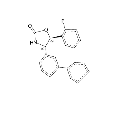 O=C1N[C@@H](c2cccc(-c3ccccc3)c2)[C@H](c2ccccc2F)O1